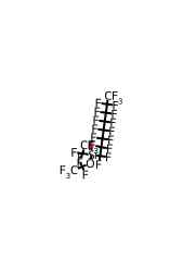 FC(F)(F)C(F)(F)O[Si](F)(C(F)(F)C(F)(F)F)C(F)(F)C(F)(F)C(F)(F)C(F)(F)C(F)(F)C(F)(F)C(F)(F)C(F)(F)F